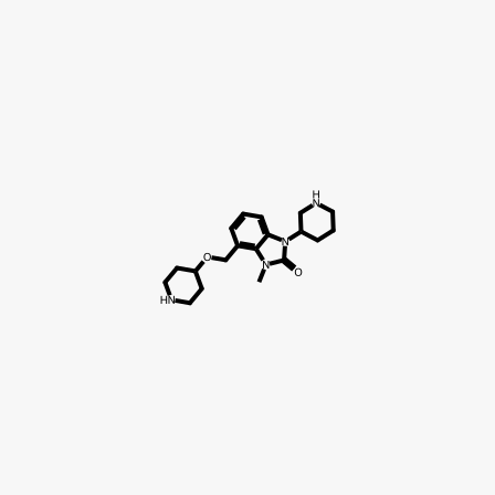 Cn1c(=O)n(C2CCCNC2)c2cccc(COC3CCNCC3)c21